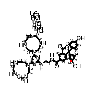 Cl.Cl.Cl.Cl.Cl.Cl.Cl.Cl.O=C(NCCNc1nc(N2CCNCCNCCNCC2)nc(N2CCNCCNCCNCC2)n1)c1ccc2c(c1)C(=O)OC21c2ccc(O)cc2Oc2cc(O)ccc21